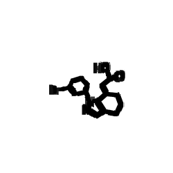 O=C(O)/C=C1\CCCc2cnn(-c3cccc(Br)c3)c21